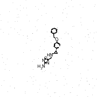 C=C(/C=C\C(=C/C)OCc1ccccc1)[C@H]1CC1NCc1nc(N)no1